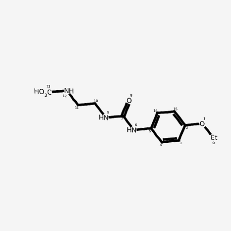 CCOc1ccc(NC(=O)NCCNC(=O)O)cc1